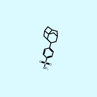 NS(=O)(=O)c1ccc(C23CC4CC5CC(C2)C5(C4)C3)cc1